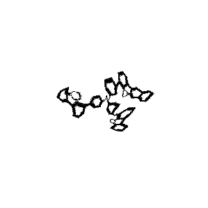 c1cc(-c2cccc3c2oc2cc4ccccc4cc23)cc(N(c2ccc(-c3cccc4c3oc3ccccc34)cc2)c2ccc(-c3cccc4c3oc3ccccc34)cc2)c1